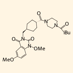 CCC(C)C(=O)N1CCN(C(=O)[C@H]2CC[C@H](Cn3c(=O)c4cc(OC)ccc4n(OC)c3=O)CC2)CC1